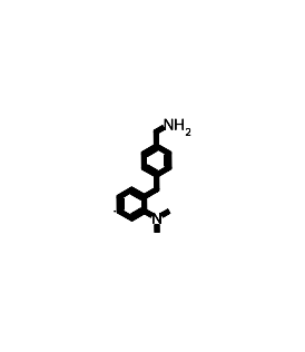 CN(C)c1c[c]ccc1Cc1ccc(CN)cc1